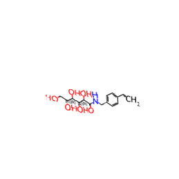 C=Cc1ccc(CNC(=O)[C@H](O)[C@@H](O)[C@H](O)[C@H](O)CO)cc1